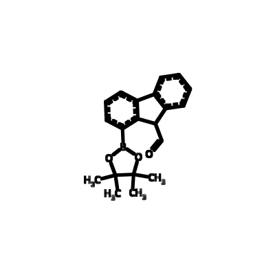 CC1(C)OB(c2cccc3c2C(C=O)c2ccccc2-3)OC1(C)C